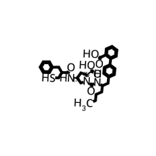 CCCCC(Cc1ccc(-c2ccccc2C(=O)O)cc1)NC(=O)N1C[C@@H](NC(=O)C(CS)Cc2ccccc2)C[C@H]1C(=O)O